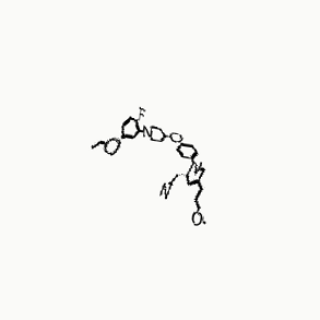 CCOc1ccc(F)c(N2CCC(Oc3ccc(N4CC(C=CCOC)=C[C@@H]4CC#N)cc3)CC2)c1